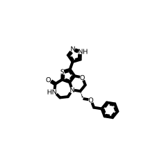 O=C1NCCN2c3c1sc(-c1cn[nH]c1)c3OC[C@@H]2COCc1ccccc1